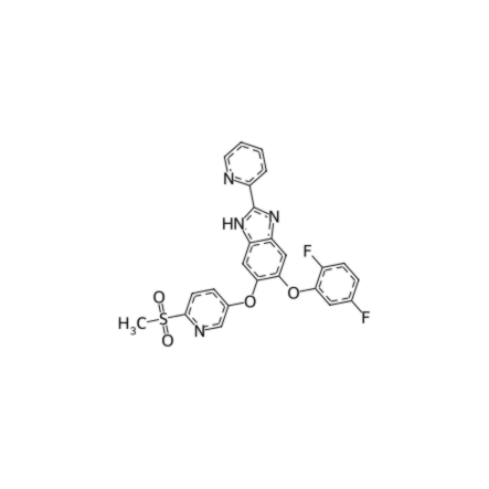 CS(=O)(=O)c1ccc(Oc2cc3[nH]c(-c4ccccn4)nc3cc2Oc2cc(F)ccc2F)cn1